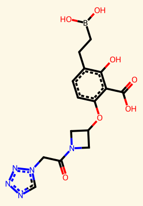 O=C(O)c1c(OC2CN(C(=O)Cn3cnnn3)C2)ccc(CCB(O)O)c1O